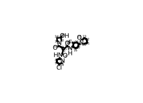 O=C(Nc1ccc(Cl)cn1)C1C(C(=O)Nc2ccc(-n3ccccc3=O)cc2F)C1C(=O)N1CCC(O)C1